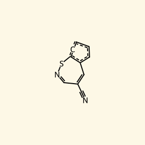 N#CC1=Cc2ccccc2SN=C1